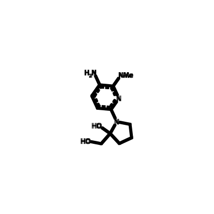 CNc1nc(N2CCCC2(O)CO)ccc1N